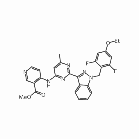 CCOc1cc(F)c(Cn2nc(-c3nc(C)cc(Nc4ccncc4C(=O)OC)n3)c3ccccc32)c(F)c1